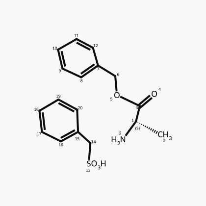 C[C@H](N)C(=O)OCc1ccccc1.O=S(=O)(O)Cc1ccccc1